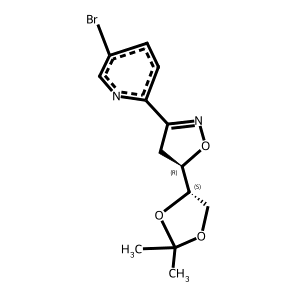 CC1(C)OC[C@@H]([C@H]2CC(c3ccc(Br)cn3)=NO2)O1